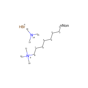 Br.CCCCCCCCCCCCCCCC[N+](C)(C)C.CN(C)C